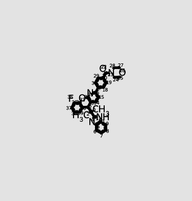 CC(C)(c1nc2ccccc2[nH]1)C1c2ccc(-c3ccc(C(=O)N4CCOCC4)cc3)nc2Oc2c(F)cccc21